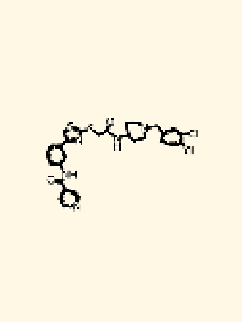 O=C(CSc1nc(-c2cccc(NC(=O)c3ccncc3)c2)cs1)NC1CCN(Cc2ccc(Cl)c(Cl)c2)CC1